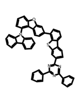 c1ccc(-c2nc(-c3ccccc3)nc(-c3ccc4c(c3)sc3c(-c5ccc6c(c5)oc5cccc(-n7c8ccccc8c8ccccc87)c56)cccc34)n2)cc1